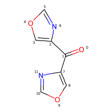 O=C(c1cocn1)c1cocn1